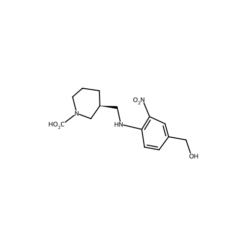 O=C(O)N1CCC[C@@H](CNc2ccc(CO)cc2[N+](=O)[O-])C1